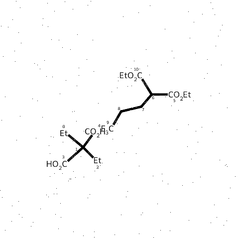 CCC(CC)(C(=O)O)C(=O)O.CCOC(=O)C(CCC(F)(F)F)C(=O)OCC